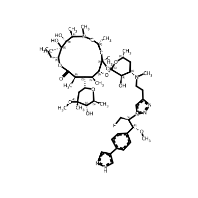 CC[C@H]1OC(=O)[C@H](C)[C@@H](C2C[C@@](C)(OC)[C@@H](O)[C@H](C)O2)[C@H](C)[C@@H](O[C@@H]2O[C@H](C)C[C@H](N(C)CCc3cn([C@H](CF)[C@H](OC)c4ccc(-c5cn[nH]c5)cc4)nn3)[C@H]2O)[C@](C)(O)C[C@@H](C)CN(C)[C@H](C)[C@@H](O)[C@]1(C)O